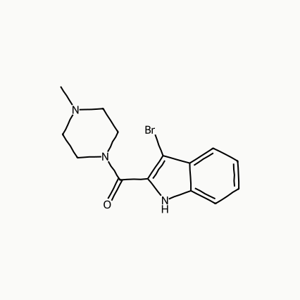 CN1CCN(C(=O)c2[nH]c3ccccc3c2Br)CC1